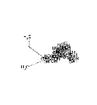 CCCCCCCC/C=C\CCCCCCCCCCCCCC(=O)N[C@@H](CO[C@@H]1OC(CO)[C@@H](O[C@@H]2OC(CO)[C@H](O[C@@H]3OC(CO)[C@H](O)[C@H](O[C@@H]4OC(CO)[C@H](O[C@@H]5OC(CO)[C@H](O)[C@H](O[C@@H]6OC(CO)[C@H](O)[C@H](O)C6O)C5NC(C)=O)[C@H](O[C@]5(C(=O)O)CC(O)[C@@H](NC(=O)CO)C([C@H](O)[C@H](O)CO)O5)C4O)C3NC(C)=O)[C@H](O)C2O)[C@H](O)C1O)[C@H](O)/C=C/CCCCCCCCCCCCC